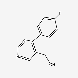 OCc1cnccc1-c1ccc(F)cc1